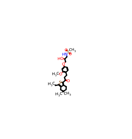 CCc1sc(C(=O)CCc2ccc(OCC(O)CNS(C)(=O)=O)cc2OC)c2c1CC(C)(C)CC2